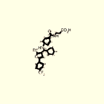 CCc1oc(-c2ccc(C(F)(F)F)cc2)cc1C(Nc1ccc(C(=O)NCCC(=O)O)cc1)C1CCCCC1